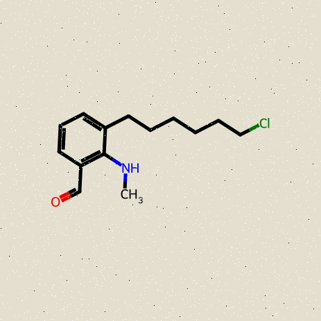 CNc1c(C=O)cccc1CCCCCCCl